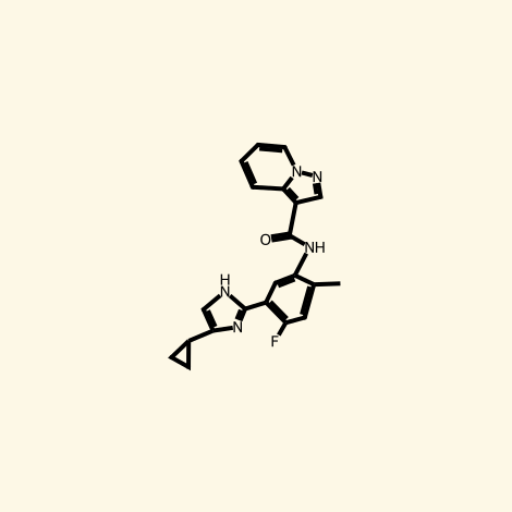 Cc1cc(F)c(-c2nc(C3CC3)c[nH]2)cc1NC(=O)c1cnn2ccccc12